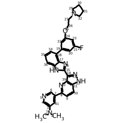 CN(C)c1cncc(-c2ccc3[nH]nc(-c4nc5c(-c6cc(F)cc(OCCN7CCCC7)c6)cccc5[nH]4)c3n2)c1